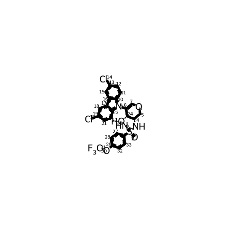 N=S(=O)(N[C@H]1COC=C(n2c3ccc(Cl)cc3c3cc(Cl)ccc32)[C@H]1O)c1ccc(OC(F)(F)F)cc1